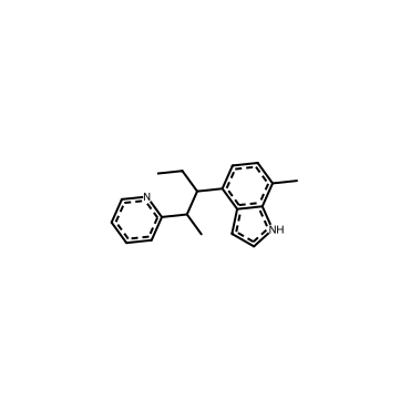 CCC(c1ccc(C)c2[nH]ccc12)C(C)c1ccccn1